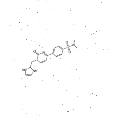 CN(C)S(=O)(=O)c1ccc(C2=NC(=O)C(CC3NC=CN3)C=C2)cc1